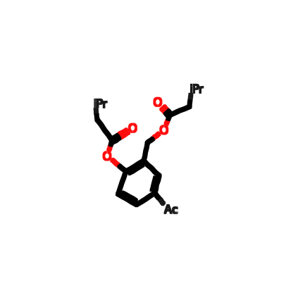 CC(=O)c1ccc(OC(=O)CC(C)C)c(COC(=O)CC(C)C)c1